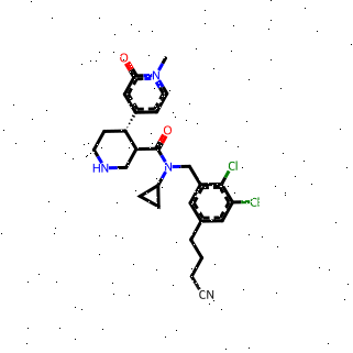 Cn1ccc([C@H]2CCNCC2C(=O)N(Cc2cc(CCCC#N)cc(Cl)c2Cl)C2CC2)cc1=O